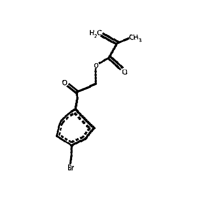 C=C(C)C(=O)OCC(=O)c1ccc(Br)cc1